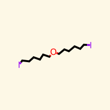 ICCCCCCOCCCCCCI